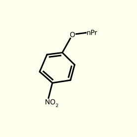 [CH2]CCOc1ccc([N+](=O)[O-])cc1